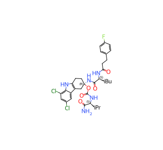 CCC(C)[C@H](NC(=O)CCc1ccc(F)cc1)C(=O)N[C@@]1(OC(=O)N[C@H](C(N)=O)C(C)C)CCc2[nH]c3c(Cl)cc(Cl)cc3c2C1